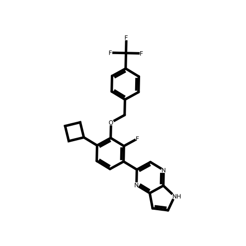 Fc1c(-c2cnc3[nH]ccc3n2)ccc(C2CCC2)c1OCc1ccc(C(F)(F)F)cc1